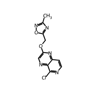 Cc1noc(COc2cnc3c(Cl)nccc3n2)n1